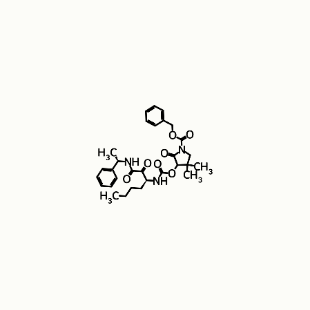 CCCC[C@H](NC(=O)OC1C(=O)N(C(=O)OCc2ccccc2)CC1(C)C)C(=O)C(=O)N[C@H](C)c1ccccc1